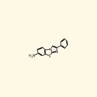 Nc1ccc2c(c1)sc1nc(-c3ccccc3)cn12